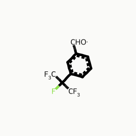 O=[C]c1cccc(C(F)(C(F)(F)F)C(F)(F)F)c1